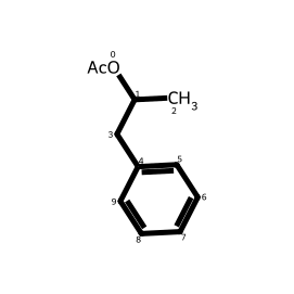 CC(=O)OC(C)Cc1ccccc1